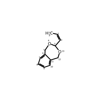 C/C=C\C1OCc2ccccc2CO1